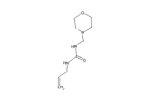 C=CCNC(=O)NCN1CCOCC1